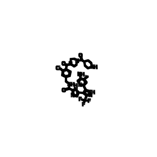 Cc1cc(-c2[nH]nc(C(F)(F)F)c2-c2cnc(C(=O)NCc3ccc(C(=O)N4CCN(C(=O)C5CCNCC5)CC4)c(Cl)c3)[nH]2)ncc1N